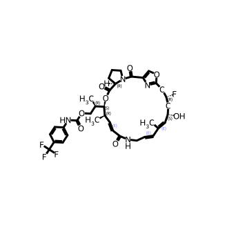 CC1=C\[C@@H](O)C[C@@H](F)Cc2nc(co2)C(=O)N2CCC[C@@H]2C(=O)O[C@H]([C@H](C)COC(=O)Nc2ccc(C(F)(F)F)cc2)[C@H](C)/C=C/C(=O)NC\C=C\1